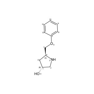 O[C@H]1CN[C@H](COc2ccccc2)C1